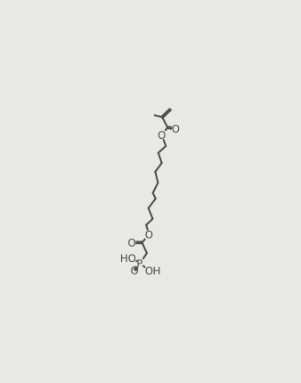 C=C(C)C(=O)OCCCCCCCCCCOC(=O)CP(=O)(O)O